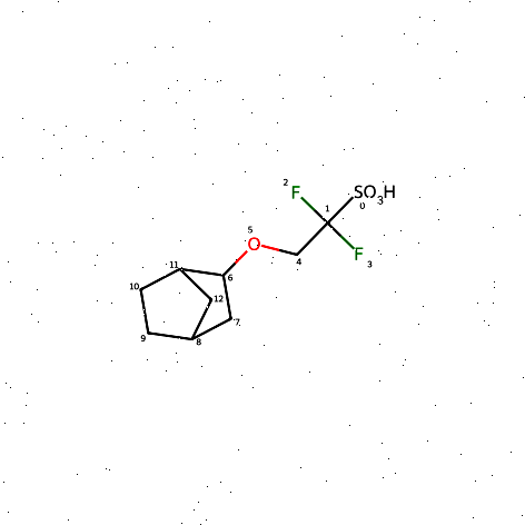 O=S(=O)(O)C(F)(F)COC1CC2CCC1C2